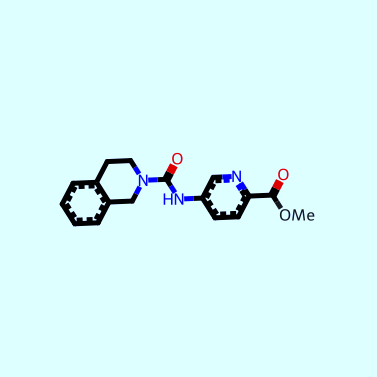 COC(=O)c1ccc(NC(=O)N2CCc3ccccc3C2)cn1